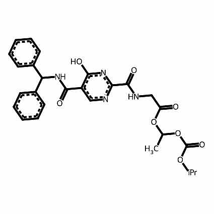 CC(C)OC(=O)OC(C)OC(=O)CNC(=O)c1ncc(C(=O)NC(c2ccccc2)c2ccccc2)c(O)n1